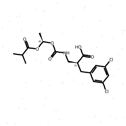 CC(C)C(=O)O[C@@H](C)OC(=O)NC[C@H](Cc1cc(Cl)cc(Cl)c1)C(=O)O